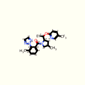 CCC(Oc1ccc(C(F)(F)F)cn1)C1CC(C)CN1C(=O)c1cccc(C)c1-n1nccn1